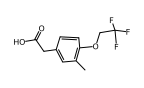 Cc1cc(CC(=O)O)ccc1OCC(F)(F)F